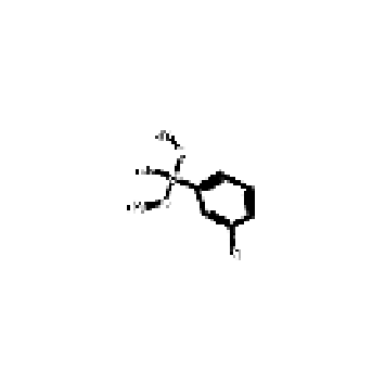 CCCC[Si](OCCC)(OCCC)c1cccc(Cl)c1